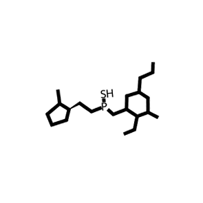 CCCC1CC(C)C(CC)C(CP(S)CC[C@H]2CCCC2C)C1